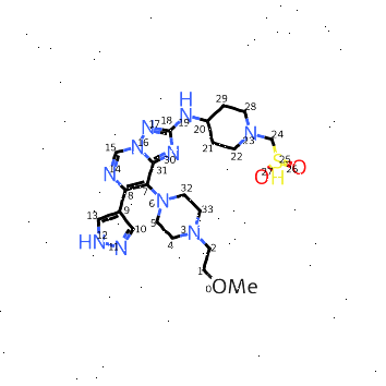 COCCN1CCN(c2c(-c3cn[nH]c3)ncn3nc(NC4CCN(C[SH](=O)=O)CC4)nc23)CC1